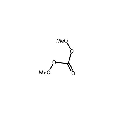 COOC(=O)OOC